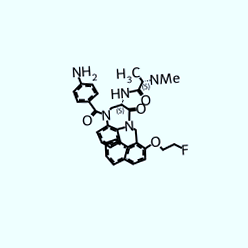 CN[C@@H](C)C(=O)N[C@H]1CN(C(=O)c2ccc(N)cc2)c2ccccc2N(Cc2c(OCCF)ccc3ccccc23)C1=O